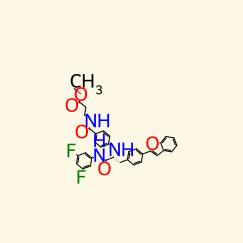 CCOC(=O)CCNC(=O)c1ccc(N[C@H](Cc2ccc(-c3cc4ccccc4o3)cc2)C(=O)Nc2cc(F)cc(F)c2)cc1